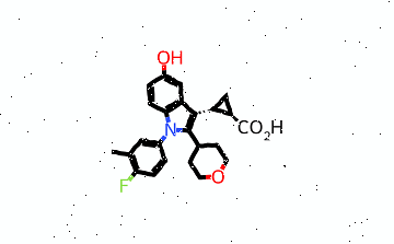 Cc1cc(-n2c(C3CCOCC3)c([C@@H]3C[C@H]3C(=O)O)c3cc(O)ccc32)ccc1F